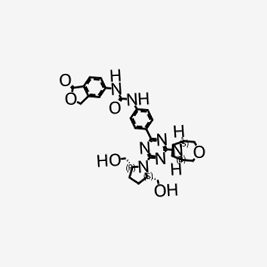 O=C(Nc1ccc(-c2nc(N3[C@H](CO)CC[C@@H]3CO)nc(N3[C@@H]4CC[C@H]3COC4)n2)cc1)Nc1ccc2c(c1)COC2=O